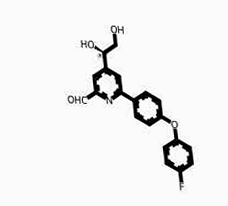 O=Cc1cc([C@@H](O)CO)cc(-c2ccc(Oc3ccc(F)cc3)cc2)n1